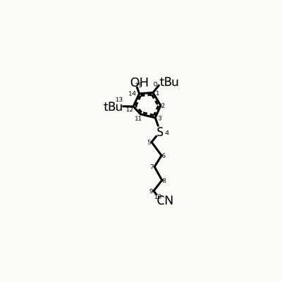 CC(C)(C)c1cc(SCCCCCC#N)cc(C(C)(C)C)c1O